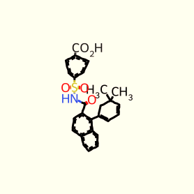 CC1(C)C=CC=C(c2c(C(=O)NS(=O)(=O)c3ccc(C(=O)O)cc3)ccc3ccccc23)C1